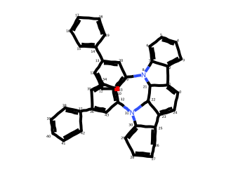 C1=C2c3ccccc3N(c3cccc(-c4ccccc4)c3)C2C2C(=C1)c1ccccc1N2c1cccc(-c2ccccc2)c1